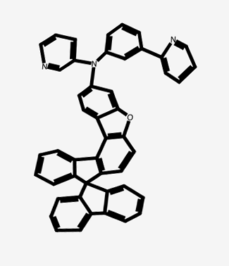 c1ccc(-c2cccc(N(c3cccnc3)c3ccc4c(c3)oc3ccc5c(c34)-c3ccccc3C53c4ccccc4-c4ccccc43)c2)nc1